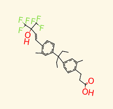 CCC(CC)(c1ccc(C=CC(O)(C(F)(F)F)C(F)(F)F)c(C)c1)c1ccc(CCC(=O)O)c(C)c1